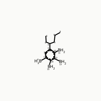 Bc1cc(C(CC)CCC)c(B)c(B)c1B